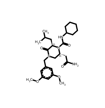 COc1cc(CN2C[C@@H](CC(N)=O)N(C(=O)NC3CCCCC3)[C@H](CC(C)C)C2=O)cc(OC)c1